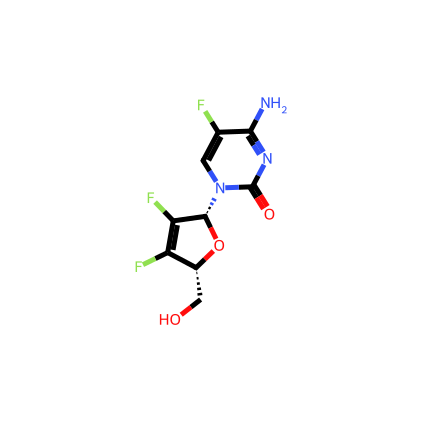 Nc1nc(=O)n([C@@H]2O[C@H](CO)C(F)=C2F)cc1F